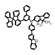 CC1(C)c2ccccc2-c2ccc(N(c3ccc(-c4ccc5c(c4)oc4ccccc45)cc3)c3cc(-c4ccccc4)cc(-c4cccc5c4-c4ccccc4C54c5ccccc5-c5ccccc54)c3)cc21